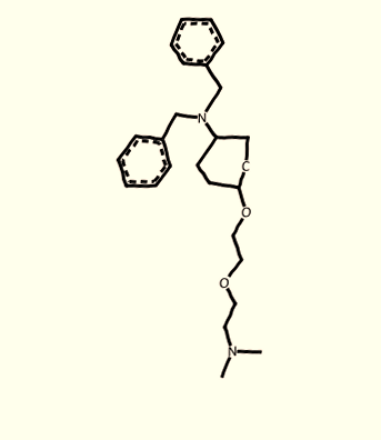 CN(C)CCOCCOC1CCC(N(Cc2ccccc2)Cc2ccccc2)CC1